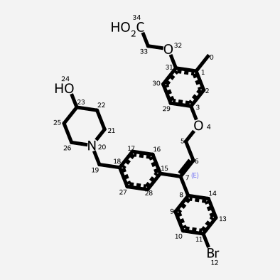 Cc1cc(OC/C=C(/c2ccc(Br)cc2)c2ccc(CN3CCC(O)CC3)cc2)ccc1OCC(=O)O